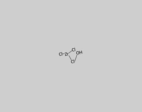 CO.[Cl][Zr]([Cl])[Cl]